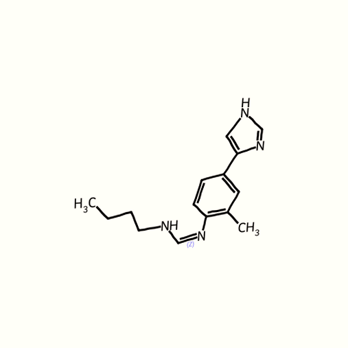 CCCCN/C=N\c1ccc(-c2c[nH]cn2)cc1C